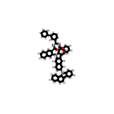 c1ccc(-c2cccc(-c3nc(-c4ccccc4)nc(-c4cc5ccccc5cc4-n4c5ccccc5c5cc6cc(-n7c8ccccc8c8ccc9ccccc9c87)ccc6cc54)n3)c2)cc1